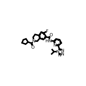 CC(C)n1nnnc1-c1cccc(NC(=O)c2cc3c(cc2F)CCN(C(=O)C2CCCC2)C3)n1